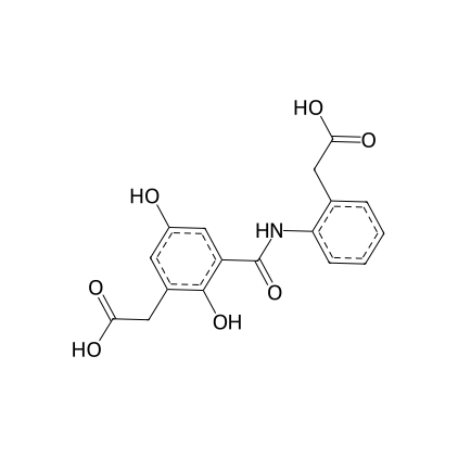 O=C(O)Cc1ccccc1NC(=O)c1cc(O)cc(CC(=O)O)c1O